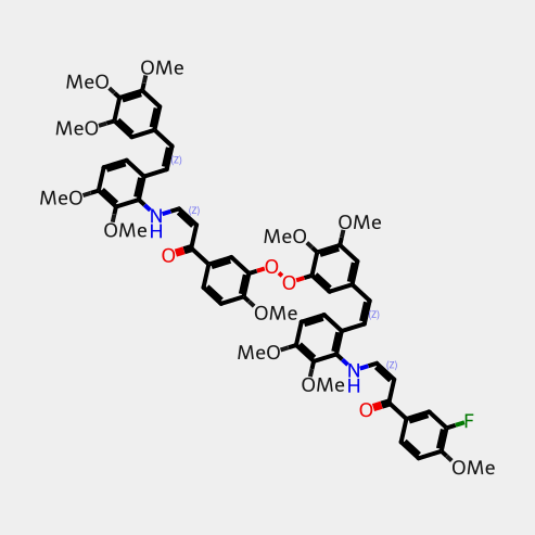 COc1ccc(C(=O)/C=C\Nc2c(/C=C\c3cc(OC)c(OC)c(OOc4cc(C(=O)/C=C\Nc5c(/C=C\c6cc(OC)c(OC)c(OC)c6)ccc(OC)c5OC)ccc4OC)c3)ccc(OC)c2OC)cc1F